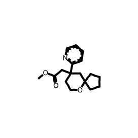 COC(=O)CC1(c2ccccn2)CCOC2(CCCC2)C1